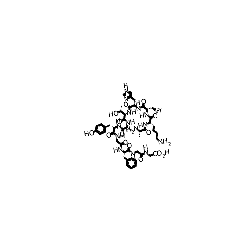 CC(C)C[C@H](NC(=O)[C@H](CCCCN)NC(=O)[C@H](C)N)C(=O)N[C@@H](Cc1c[nH]cn1)C(=O)N[C@H](C(=O)N[C@@H](C)C(=O)N[C@@H](Cc1ccc(O)cc1)C(=O)NCC(=O)N[C@@H](Cc1ccccc1)C(=O)NCC(=O)NCC(=O)O)[C@@H](C)O